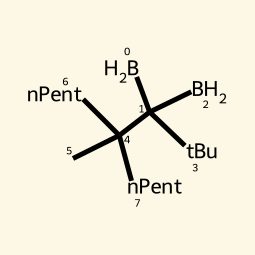 BC(B)(C(C)(C)C)C(C)(CCCCC)CCCCC